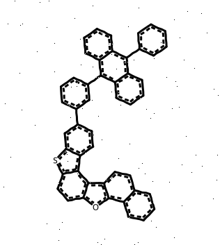 c1ccc(-c2c3ccccc3c(-c3cccc(-c4ccc5c(c4)sc4ccc6oc7c8ccccc8ccc7c6c45)c3)c3ccccc23)cc1